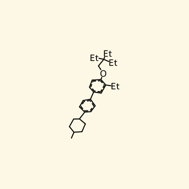 CCc1cc(-c2ccc(C3CCC(C)CC3)cc2)ccc1OCC(CC)(CC)CC